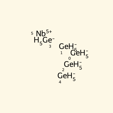 [GeH5-].[GeH5-].[GeH5-].[GeH5-].[GeH5-].[Nb+5]